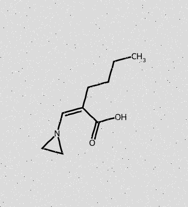 CCCCC(=CN1CC1)C(=O)O